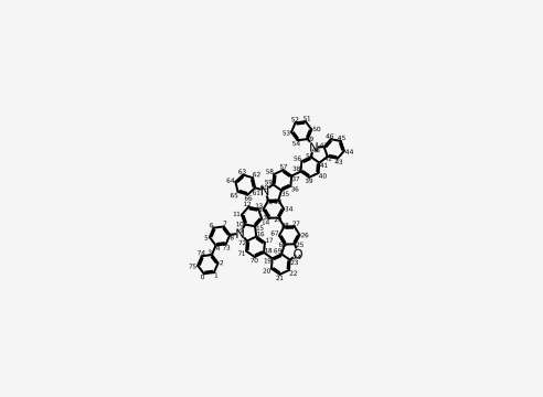 c1ccc(-c2cccc(-n3c4ccccc4c4cc(-c5cccc6oc7ccc(-c8ccc9c(c8)c8cc(-c%10ccc%11c%12ccccc%12n(-c%12ccccc%12)c%11c%10)ccc8n9-c8ccccc8)cc7c56)ccc43)c2)cc1